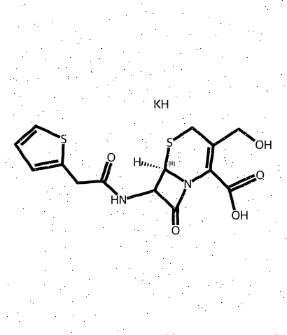 O=C(Cc1cccs1)NC1C(=O)N2C(C(=O)O)=C(CO)CS[C@H]12.[KH]